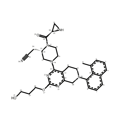 Cc1cccc2cccc(N3CCc4c(nc(OCCCO)nc4N4CCN(C(=O)[C@H]5CN5)[C@@H](CC#N)C4)C3)c12